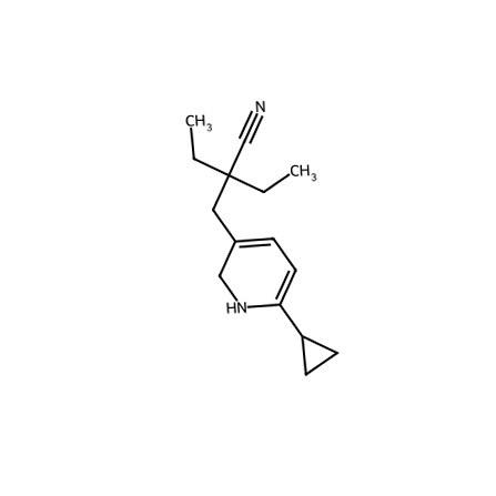 CCC(C#N)(CC)CC1=CC=C(C2CC2)NC1